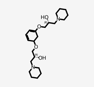 O[C@@H](COC1=CC=CC(OC[C@H](O)CN2CCCCC2)C1)CN1CCCCC1